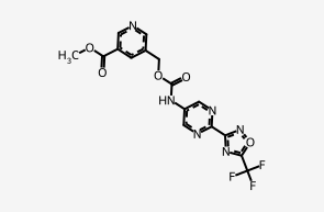 COC(=O)c1cncc(COC(=O)Nc2cnc(-c3noc(C(F)(F)F)n3)nc2)c1